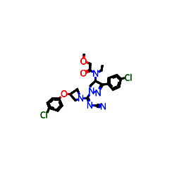 CCN(C(=O)COC)C1CN(C(=NC#N)N2CC(Oc3ccc(Cl)cc3)C2)N=C1c1ccc(Cl)cc1